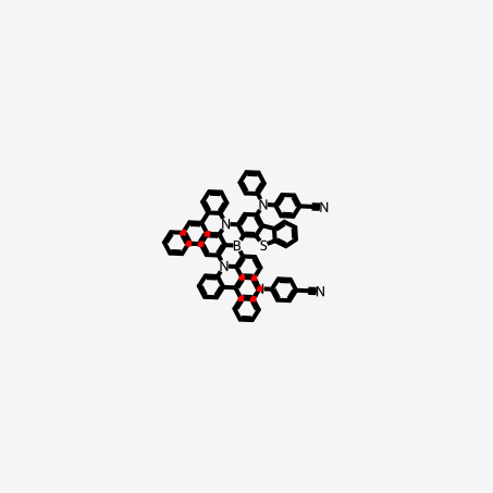 N#Cc1ccc(N(c2ccccc2)c2ccc3c(c2)N(c2ccccc2-c2ccccc2)c2cc(-c4ccccc4)cc4c2B3c2c(cc(N(c3ccccc3)c3ccc(C#N)cc3)c3c2sc2ccccc23)N4c2ccccc2-c2ccccc2)cc1